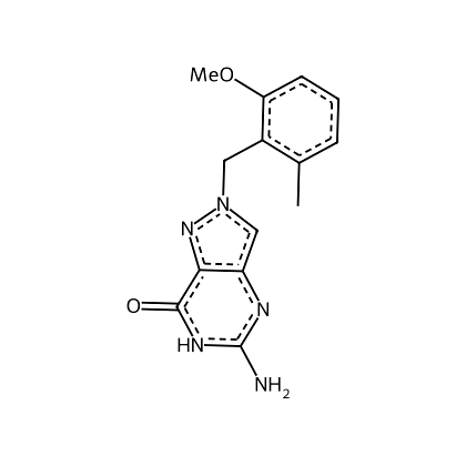 COc1cccc(C)c1Cn1cc2nc(N)[nH]c(=O)c2n1